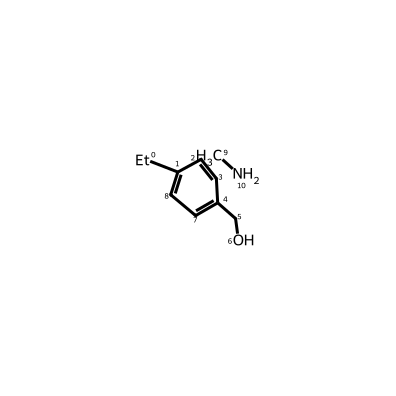 CCc1ccc(CO)cc1.CN